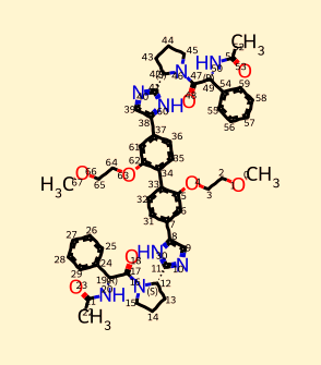 COCCOc1cc(-c2cnc([C@@H]3CCCN3C(=O)[C@H](NC(C)=O)c3ccccc3)[nH]2)ccc1-c1ccc(-c2cnc([C@@H]3CCCN3C(=O)[C@H](NC(C)=O)c3ccccc3)[nH]2)cc1OCCOC